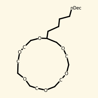 CCCCCCCCCCCCCCC1COCCOCCOCCOCCOCCO1